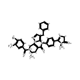 C[C@H]1Cc2c(n3ncc(Cc4ccccc4)c3n(-c3ccc(C4=NCC(=O)N4C)cc3)c2=O)CN1C(=O)c1ccc(Br)c(C(F)(F)F)c1